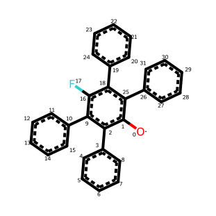 [O]c1c(-c2ccccc2)c(-c2ccccc2)c(F)c(-c2ccccc2)c1-c1ccccc1